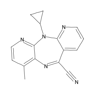 Cc1ccnc2c1N=C(C#N)c1cccnc1N2C1CC1